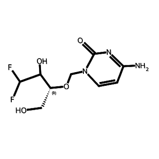 Nc1ccn(CO[C@H](CO)C(O)C(F)F)c(=O)n1